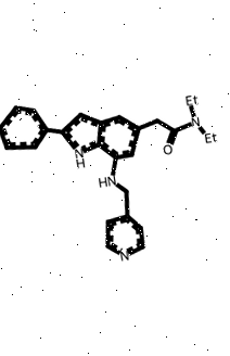 CCN(CC)C(=O)Cc1cc(NCc2ccncc2)c2[nH]c(-c3ccccc3)cc2c1